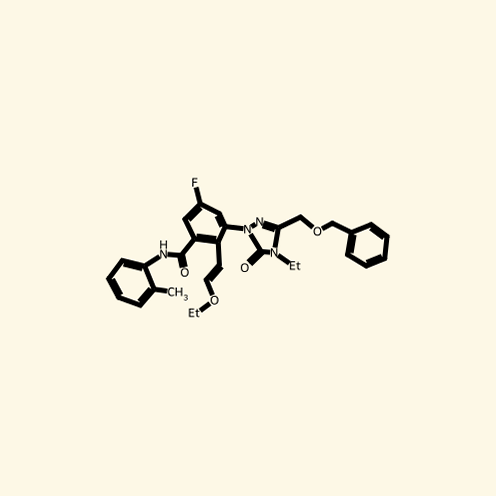 CCOC=Cc1c(C(=O)Nc2ccccc2C)cc(F)cc1-n1nc(COCc2ccccc2)n(CC)c1=O